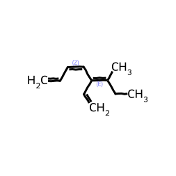 C=C/C=C\C(C=C)=C(/C)CC